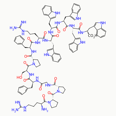 N=C(N)NCCC[C@H](NC(=O)[C@H](Cc1ccccc1)NC(=O)[C@@H]1CCCN1C(=O)[C@H](CO)NC(=O)[C@H](Cc1ccccc1)NC(=O)CNC(=O)[C@@H]1CCCN1C(=O)[C@@H]1CCCN1C(=O)[C@@H](N)CCCNC(=N)N)C(=O)N[C@@H](Cc1c[nH]c2ccccc12)C(=O)N[C@@H](Cc1c[nH]c2ccccc12)C(=O)N[C@@H](Cc1c[nH]c2ccccc12)C(=O)N[C@@H](Cc1c[nH]c2ccccc12)C(=O)N[C@@H](Cc1c[nH]c2ccccc12)C(=O)O